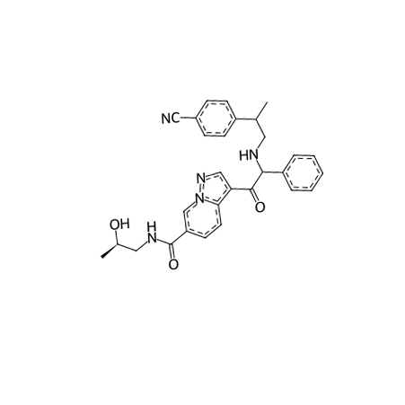 CC(CNC(C(=O)c1cnn2cc(C(=O)NC[C@@H](C)O)ccc12)c1ccccc1)c1ccc(C#N)cc1